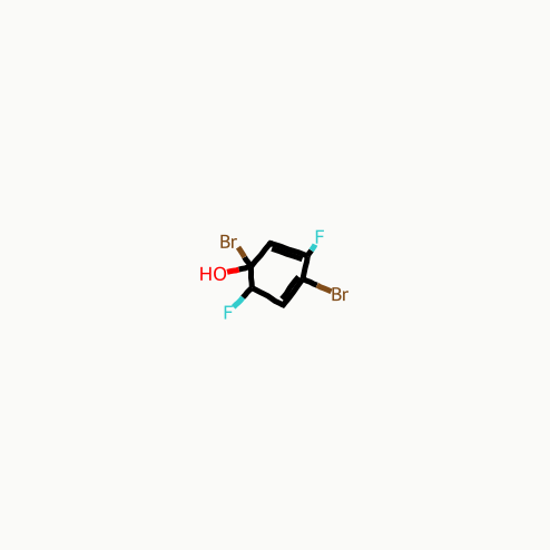 OC1(Br)C=C(F)C(Br)=CC1F